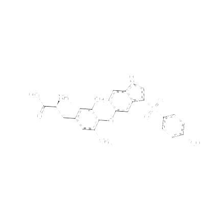 Cc1ccc(S(=O)(=O)c2c[nH]c3ccc(Oc4c(C)cc(C[C@H](N)C(=O)O)cc4C)cc23)cc1